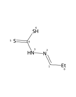 CCC=NNC(=S)S